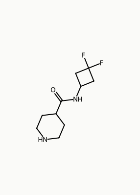 O=C(NC1CC(F)(F)C1)C1CCNCC1